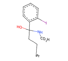 CC(C)CCC(O)(NC(=O)O)c1ccccc1I